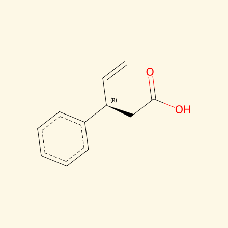 C=C[C@@H](CC(=O)O)c1ccccc1